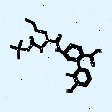 CCCC[C@H](NC(=O)OC(C)(C)C)C(=O)Nc1ccc(C(=O)O)c(-c2cccc(O)c2C)c1